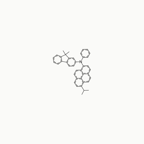 CC(C)c1ccc2ccc3c(N(c4ccccc4)c4ccc5c(c4)C(C)(C)c4ccccc4-5)ccc4ccc1c2c43